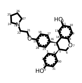 Oc1ccc([C@@H]2COc3ccc(O)cc3[C@@H]2c2ccc(OCCN3CCCC3)cc2)cc1